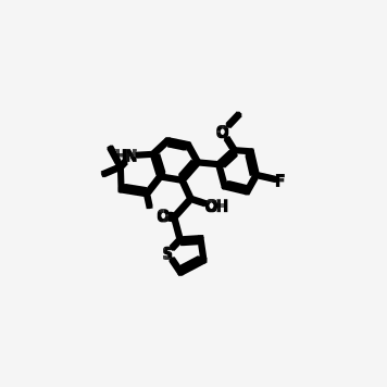 COc1cc(F)ccc1-c1ccc2c(c1C(O)C(=O)c1cccs1)C(C)=CC(C)(C)N2